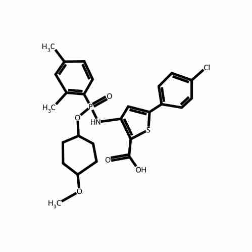 COC1CCC(OP(=O)(Nc2cc(-c3ccc(Cl)cc3)sc2C(=O)O)c2ccc(C)cc2C)CC1